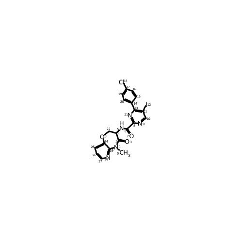 CN1C(=O)C(NC(=O)c2ncc(I)c(-c3ccc(Cl)cc3)n2)COc2cccnc21